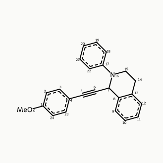 COc1ccc(C#CC2c3ccccc3CCN2c2ccccc2)cc1